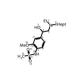 CCCCCCCN(CC)CC(O)c1ccc(NS(C)(=O)=O)c(OC)c1